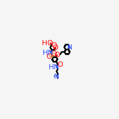 CN(C)CCCNC(=O)c1ccc(S(=O)(=O)NC(C=O)CC(=O)O)c(OCCc2cccc3ncccc23)c1